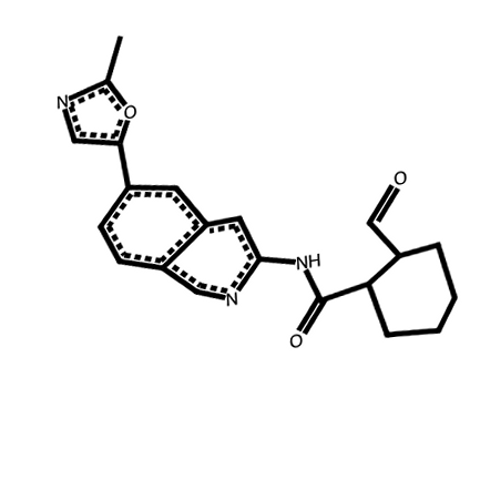 Cc1ncc(-c2ccc3cnc(NC(=O)C4CCCCC4C=O)cc3c2)o1